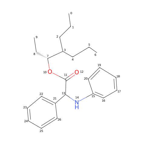 CCCC(CCC)[C@@H](CC)OC(=O)C(Nc1ccccc1)c1ccccc1